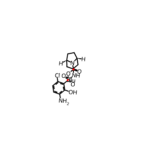 CC(C)(C)OC(=O)N1[C@@H]2CC[C@H]1CC(NS(=O)(=O)c1c(Cl)ccc(N)c1O)C2